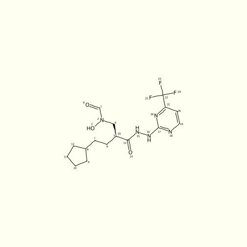 O=CN(O)C[C@H](CCC1CCCC1)C(=O)NNc1nccc(C(F)(F)F)n1